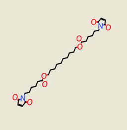 O=C(CCCCCN1C(=O)C=CC1=O)OCCCCCCCCCCOC(=O)CCCCCN1C(=O)C=CC1=O